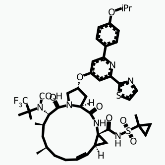 CC(C)Oc1ccc(-c2cc(O[C@@H]3C[C@H]4C(=O)N[C@]5(C(=O)NS(=O)(=O)C6(C)CC6)C[C@H]5C=CCC[C@@H](C)C[C@@H](C)[C@H](N(C(=O)O)C(C)(C)C(F)(F)F)C(=O)N4C3)cc(-c3nccs3)n2)cc1